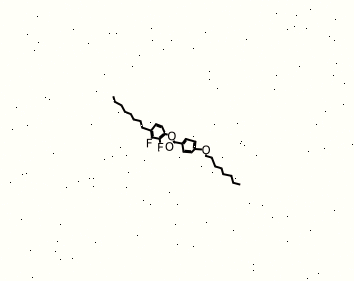 CCCCCCCCOc1ccc(C(=O)Oc2ccc(CCCCCCCC)c(F)c2F)cc1